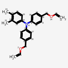 C=COCc1ccc(N(c2ccc(COC=C)cc2)c2ccc(C)c(C)c2)cc1